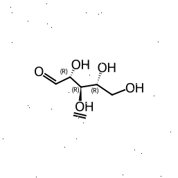 C=C.O=C[C@H](O)[C@H](O)[C@H](O)CO